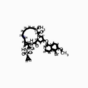 COc1ccc2c(OC3CC4C(=O)NC5(C(=O)NS(=O)(=O)C6CC6)CC5/C=C/CCCCN(C)C(=O)N4C3)nccc2c1Br